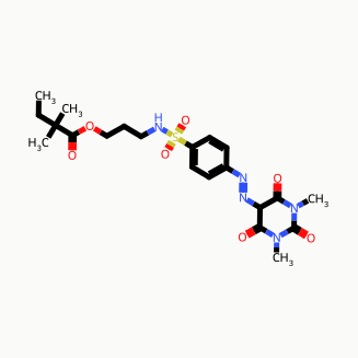 CCC(C)(C)C(=O)OCCCNS(=O)(=O)c1ccc(N=NC2C(=O)N(C)C(=O)N(C)C2=O)cc1